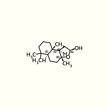 CC1(C)CCC[C@]2(C)[C@H]3C[C@@H](O)O[C@]3(C)CC[C@@H]12